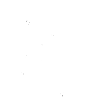 Clc1ccc(-n2c(-c3ccc(CC4C=CN=C4)cc3)nc3ccncc32)cc1